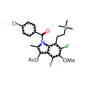 COc1c(F)c(CC[Si](C)(C)C)c2c(c1F)c(OC(C)=O)c(C)n2C(=O)c1ccc(Cl)cc1